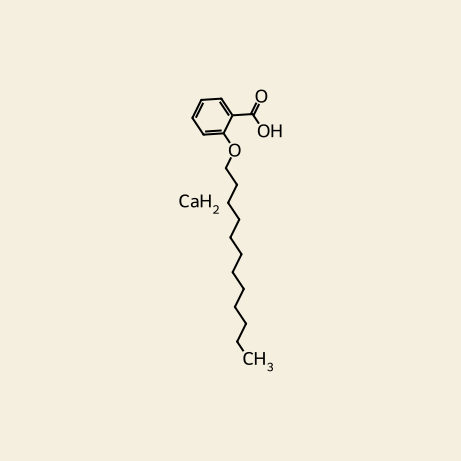 CCCCCCCCCCCCOc1ccccc1C(=O)O.[CaH2]